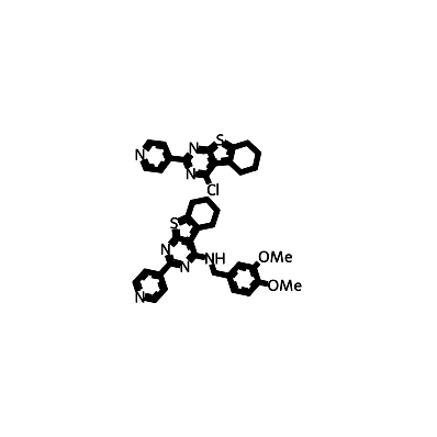 COc1ccc(CNc2nc(-c3ccncc3)nc3sc4c(c23)CCCC4)cc1OC.Clc1nc(-c2ccncc2)nc2sc3c(c12)CCCC3